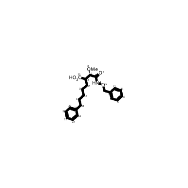 CO[C@H](C(=O)NOCc1ccccc1)C(CCCCCc1ccccc1)C(=O)O